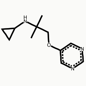 CC(C)(COc1cncnc1)NC1CC1